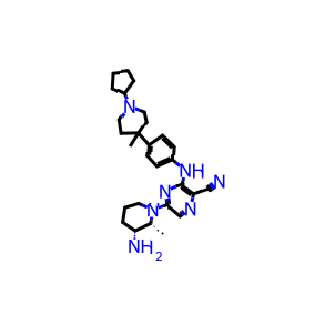 C[C@@H]1[C@H](N)CCCN1c1cnc(C#N)c(Nc2ccc(C3(C)CCN(C4CCCC4)CC3)cc2)n1